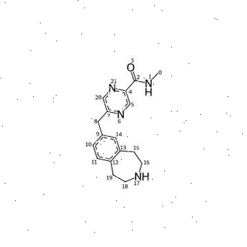 CNC(=O)c1cnc(Cc2ccc3c(c2)CCNCC3)cn1